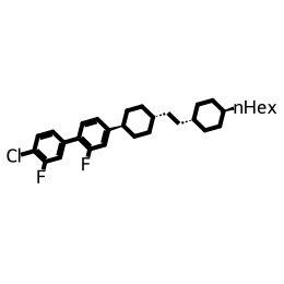 CCCCCC[C@H]1CC[C@H](CC[C@H]2CC[C@H](c3ccc(-c4ccc(Cl)c(F)c4)c(F)c3)CC2)CC1